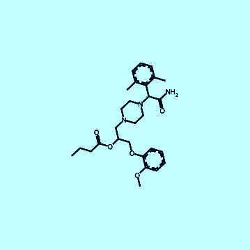 CCCC(=O)OC(COc1ccccc1OC)CN1CCN(C(C(N)=O)c2c(C)cccc2C)CC1